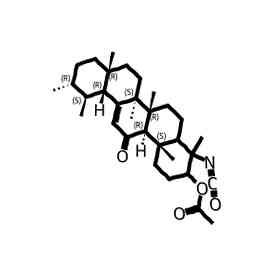 CC(=O)OC1CC[C@@]2(C)C(CC[C@]3(C)[C@@H]2C(=O)C=C2[C@@H]4[C@@H](C)[C@H](C)CC[C@]4(C)CC[C@]23C)C1(C)N=C=O